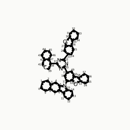 c1ccc2cc3c(cc2c1)c1ccccc1n3-c1cc(-c2nc(-c3ccc4c(c3)oc3ccccc34)nc(-c3cccc4ccccc34)n2)cc2c1oc1ccccc12